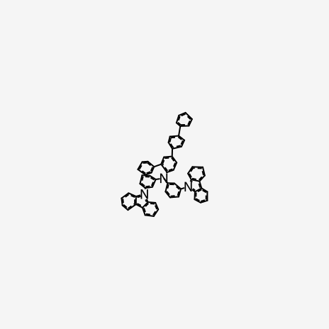 c1ccc(-c2ccc(-c3ccc(N(c4cccc(-n5c6ccccc6c6ccccc65)c4)c4cccc(-n5c6ccccc6c6ccccc65)c4)c(-c4ccccc4)c3)cc2)cc1